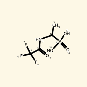 CC(NC(=O)C(F)(F)F)P(=O)(O)O